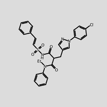 CCN(C(=O)C(Cc1cnn(-c2ccc(Cl)cc2)c1)C(=O)NS(=O)(=O)C=Cc1ccccc1)c1ccccc1